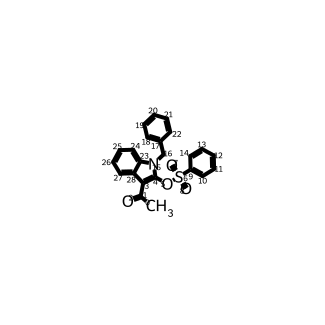 CC(=O)c1c(OS(=O)(=O)c2ccccc2)n(Cc2ccccc2)c2ccccc12